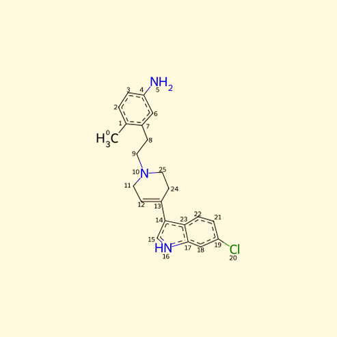 Cc1ccc(N)cc1CCN1CC=C(c2c[nH]c3cc(Cl)ccc23)CC1